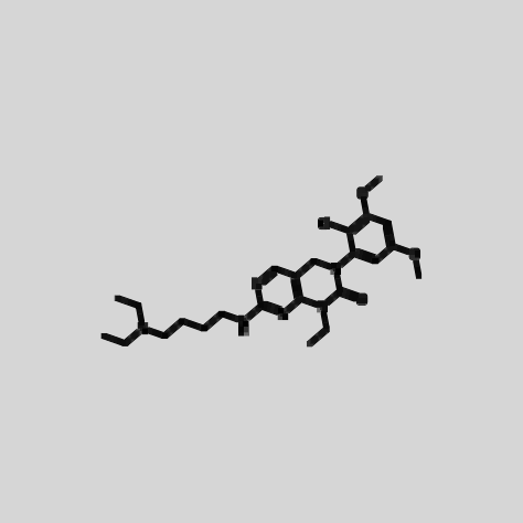 CCN(CC)CCCCNc1ncc2c(n1)N(CC)C(=O)N(c1cc(OC)cc(OC)c1Cl)C2